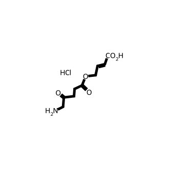 Cl.NCC(=O)CCC(=O)OCC=CC(=O)O